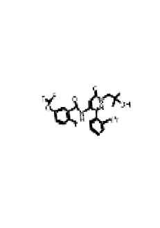 CC(C)c1ccccc1-c1nn(CC(C)(C)O)c(=O)cc1NC(=O)c1cc(OC(F)F)ccc1F